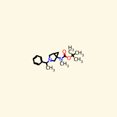 CC(c1ccccc1)N1CC2CC2(N(C)C(=O)OC(C)(C)C)C1